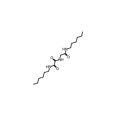 CCCCCCNC(=O)CNC(=O)C(=O)NCCCCCC